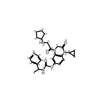 CC(NC(=O)Oc1ccc2c(c1)N(C(=O)CNC1CCCC1)CC(=O)N2C1CC1)c1ccncc1